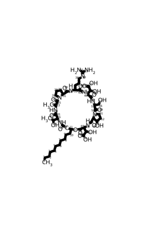 CCCCCCCCCCCC1CC(=O)NC(C(C)O)C(=O)NC(C)C(=O)N2CCCC2C(=O)NC(CCCN=C(N)N)C(=O)NC(C(O)C(=O)O)C(=O)NC(CO)C(=O)N2CCC(O)C2C(=O)NC(C(O)C(=O)O)C(=O)O1